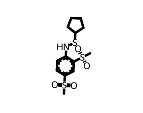 CS(=O)(=O)c1ccc(NSC2CCCC2)c(S(C)(=O)=O)c1